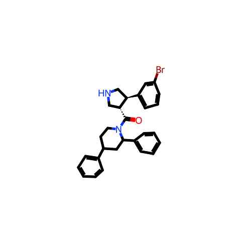 O=C([C@@H]1CNC[C@H]1c1cccc(Br)c1)N1CCC(c2ccccc2)CC1c1ccccc1